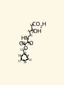 O=C(O)C[C@H](O)CCNC(=O)C(=O)OCc1ccccc1